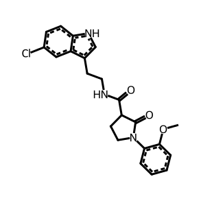 COc1ccccc1N1CCC(C(=O)NCCc2c[nH]c3ccc(Cl)cc23)C1=O